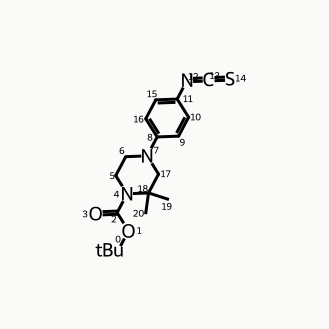 CC(C)(C)OC(=O)N1CCN(c2ccc(N=C=S)cc2)CC1(C)C